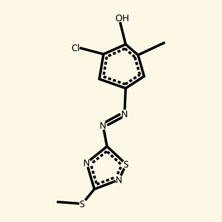 CSc1nsc(/N=N/c2cc(C)c(O)c(Cl)c2)n1